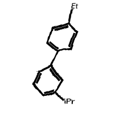 CCc1ccc(-c2[c]ccc(C(C)C)c2)cc1